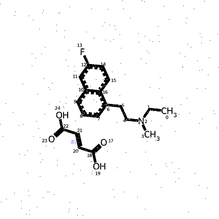 CCN(C)CCc1cccc2cc(F)ccc12.O=C(O)/C=C/C(=O)O